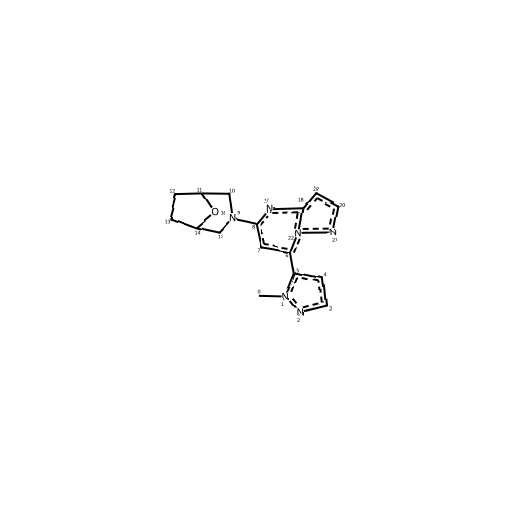 Cn1nccc1-c1cc(N2CC3CCC(C2)O3)nc2ccnn12